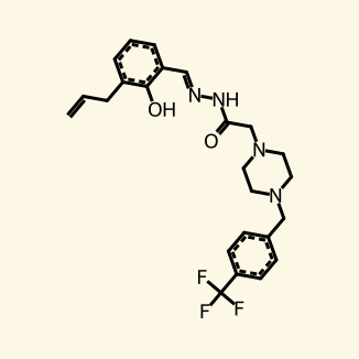 C=CCc1cccc(C=NNC(=O)CN2CCN(Cc3ccc(C(F)(F)F)cc3)CC2)c1O